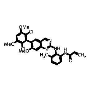 C=CC(=O)Nc1cccc(C)c1Nc1ncc2cc(-c3c(Cl)c(OC)cc(OC)c3Cl)c(OC)cc2n1